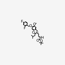 COc1cc(CN(CCNC(=O)OC(C)(C)C)C(=O)CC(C)C)ccc1OCc1ccc(F)cc1F